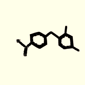 Cc1ccc(Cc2ccc([N+](=O)[O-])cc2)c(C)c1